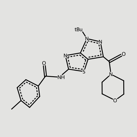 Cc1ccc(C(=O)Nc2nc3c(s2)c(C(=O)N2CCOCC2)nn3C(C)(C)C)cc1